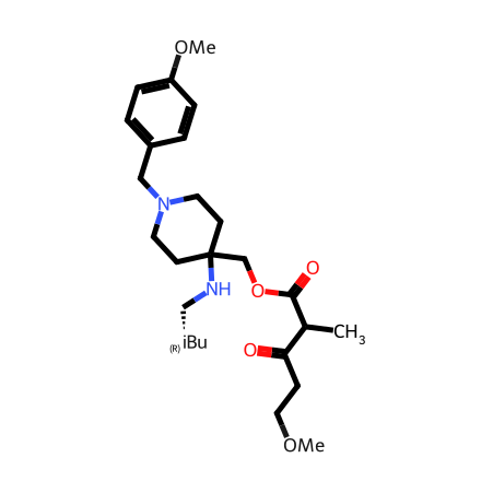 CC[C@@H](C)CNC1(COC(=O)C(C)C(=O)CCOC)CCN(Cc2ccc(OC)cc2)CC1